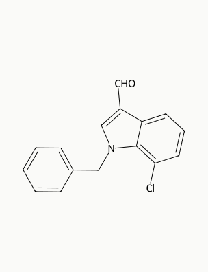 O=Cc1cn(Cc2ccccc2)c2c(Cl)cccc12